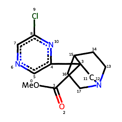 COC(=O)C1(c2cncc(Cl)n2)CN2CCC1CC2